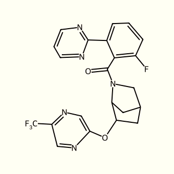 O=C(c1c(F)cccc1-c1ncccn1)N1CC2CC(Oc3cnc(C(F)(F)F)cn3)C1C2